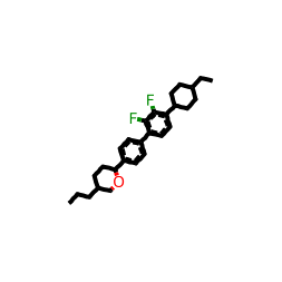 CCCC1CCC(c2ccc(-c3ccc(C4CCC(CC)CC4)c(F)c3F)cc2)OC1